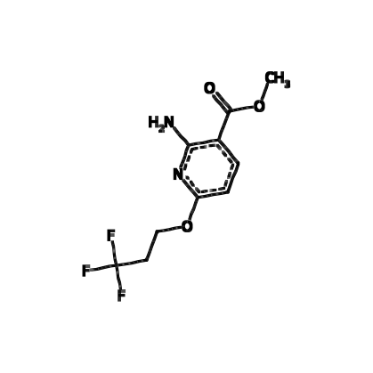 COC(=O)c1ccc(OCCC(F)(F)F)nc1N